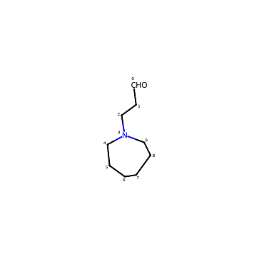 O=CCCN1CCCCCC1